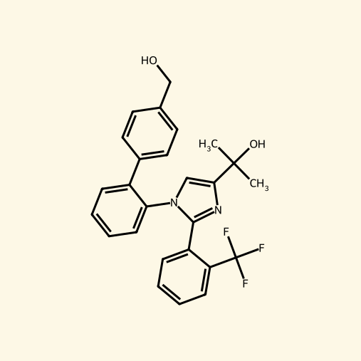 CC(C)(O)c1cn(-c2ccccc2-c2ccc(CO)cc2)c(-c2ccccc2C(F)(F)F)n1